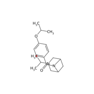 CC(C)Oc1ccc(C(=O)N2C3CC2CN(C(C)C)C3)cc1